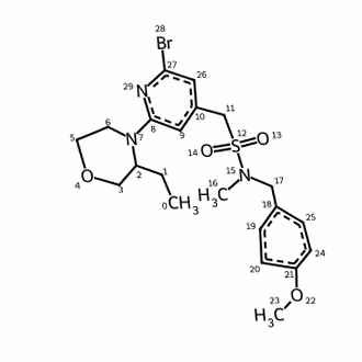 CCC1COCCN1c1cc(CS(=O)(=O)N(C)Cc2ccc(OC)cc2)cc(Br)n1